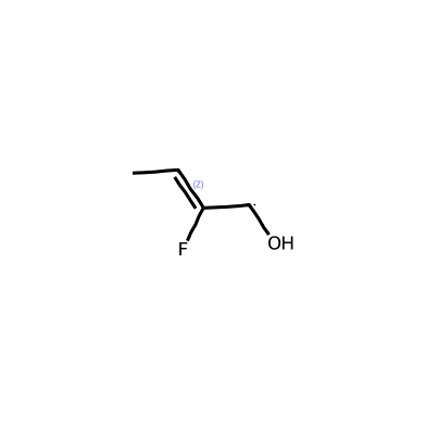 C/C=C(\F)[CH]O